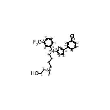 CN(CCO)CCCCN(c1cccc(C(F)(F)F)c1)c1nc(-c2cccc(Cl)c2)cs1